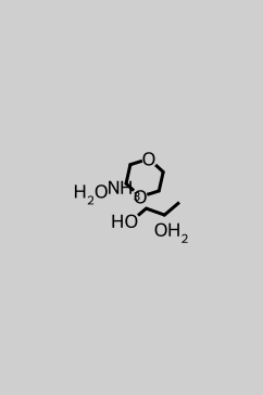 C1COCCO1.CCCO.N.O.O